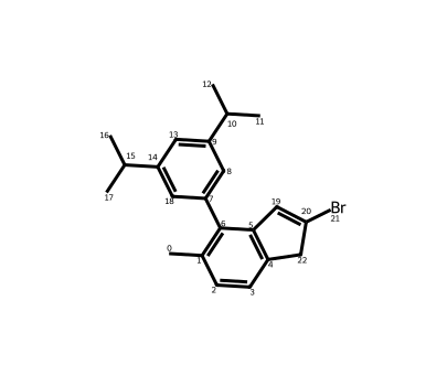 Cc1ccc2c(c1-c1cc(C(C)C)cc(C(C)C)c1)C=C(Br)C2